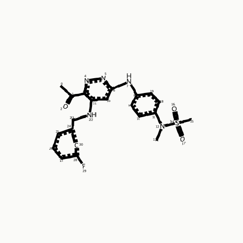 CC(=O)c1nnc(Nc2ccc(N(C)S(C)(=O)=O)cc2)cc1NCc1cccc(F)c1